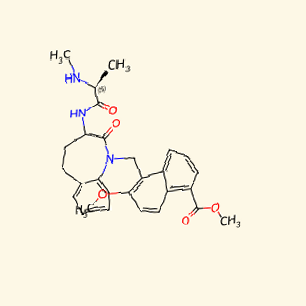 CN[C@@H](C)C(=O)NC1CCc2ccccc2N(Cc2c(OC)ccc3c(C(=O)OC)cccc23)C1=O